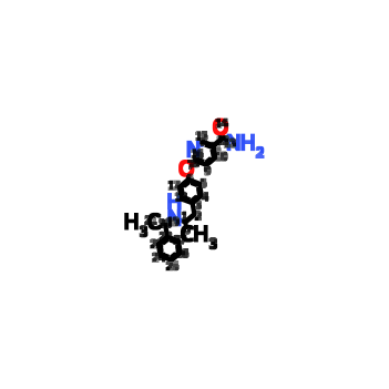 CC(Cc1ccc(Oc2ccc(C(N)=O)cn2)cc1)N[C@@H](C)c1ccccc1